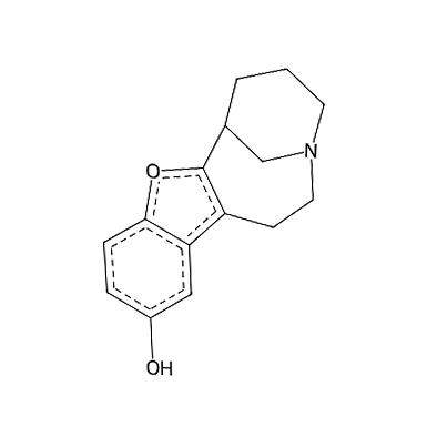 Oc1ccc2oc3c(c2c1)CCN1CCCC3C1